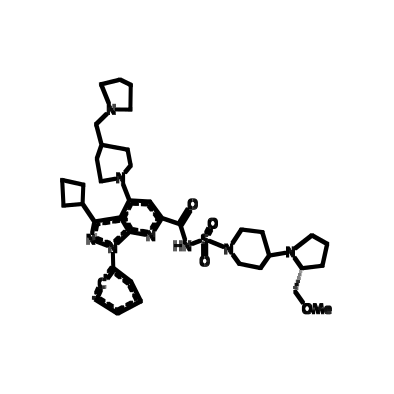 COC[C@H]1CCCN1C1CCN(S(=O)(=O)NC(=O)c2cc(N3CCC(CN4CCCC4)CC3)c3c(C4CCC4)nn(-c4ccccc4)c3n2)CC1